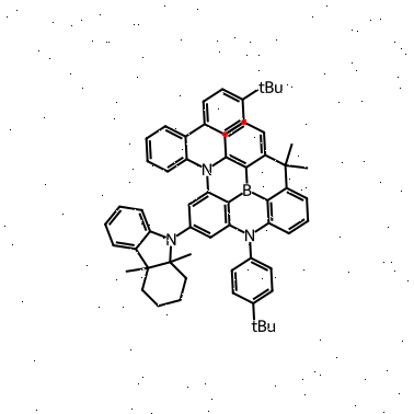 CC(C)(C)c1ccc(-c2ccccc2N2c3cc(N4c5ccccc5C5(C)CCCCC45C)cc4c3B3c5c(cccc5C(C)(C)c5cccc2c53)N4c2ccc(C(C)(C)C)cc2)cc1